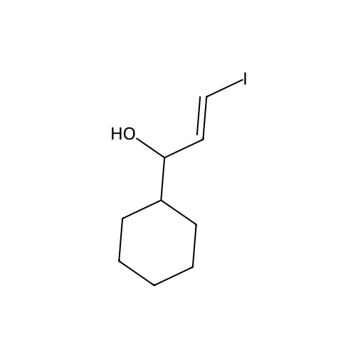 OC(/C=C/I)C1CCCCC1